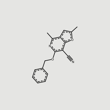 Cc1cc2c(C)nc(OCc3ccccc3)c(C#N)c2o1